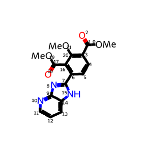 COC(=O)c1ccc(-c2nc3ncccc3[nH]2)c(C(=O)OC)c1OC